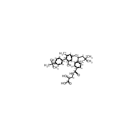 Cc1cc(OC(CC(C)(C)C)c2ccc(C(=O)NCC(O)C(=O)O)cc2)cc(C)c1-c1ccc(C(C)(C)C)cc1